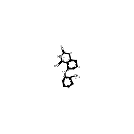 Cc1ccccc1Oc1cccc2c1C(=O)NC(=O)C2